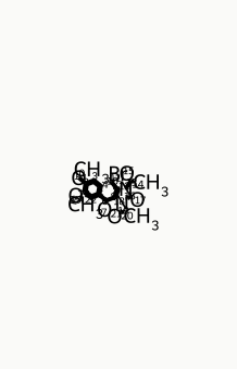 COc1ccc(C(=O)c2c(CBr)n(C(C)=O)c(=O)n2C(C)=O)cc1OC